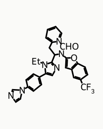 CCn1c(-c2ccc(-n3ccnc3)cc2)cnc1C(Cc1ccccn1)N(C=O)c1cc2cc(C(F)(F)F)ccc2o1